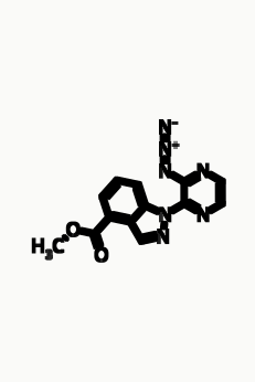 COC(=O)c1cccc2c1cnn2-c1nccnc1N=[N+]=[N-]